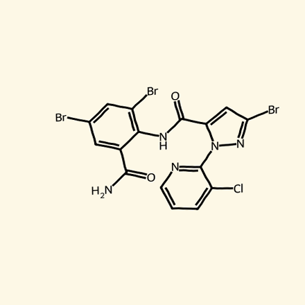 NC(=O)c1cc(Br)cc(Br)c1NC(=O)c1cc(Br)nn1-c1ncccc1Cl